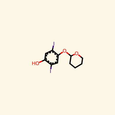 Oc1cc(I)c(OC2CCCCO2)cc1I